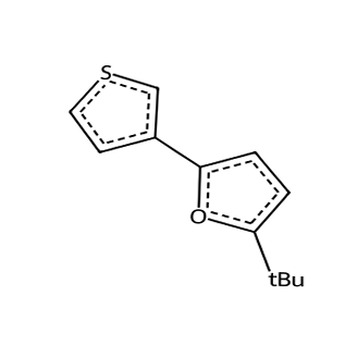 CC(C)(C)c1ccc(-c2ccsc2)o1